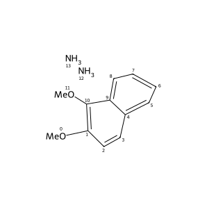 COc1ccc2ccccc2c1OC.N.N